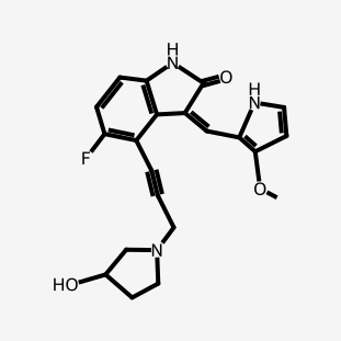 COc1cc[nH]c1C=C1C(=O)Nc2ccc(F)c(C#CCN3CCC(O)C3)c21